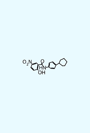 O=C(Nc1ccc(C2CCCCC2)cc1)c1cc([N+](=O)[O-])ccc1O